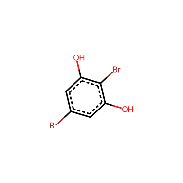 Oc1cc(Br)cc(O)c1Br